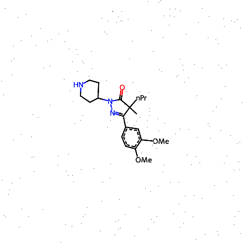 CCCC1(C)C(=O)N(C2CCNCC2)N=C1c1ccc(OC)c(OC)c1